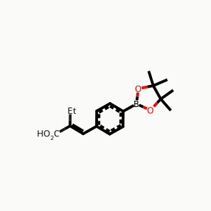 CC/C(=C\c1ccc(B2OC(C)(C)C(C)(C)O2)cc1)C(=O)O